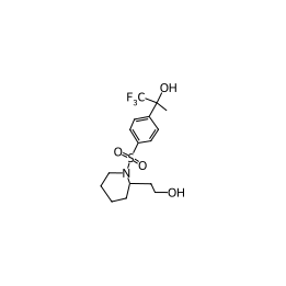 CC(O)(c1ccc(S(=O)(=O)N2CCCCC2CCO)cc1)C(F)(F)F